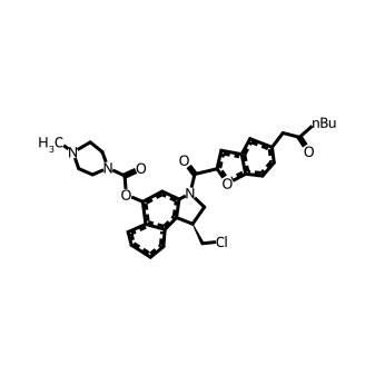 CCCCC(=O)Cc1ccc2oc(C(=O)N3C[C@@H](CCl)c4c3cc(OC(=O)N3CCN(C)CC3)c3ccccc43)cc2c1